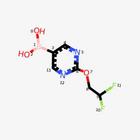 OB(O)c1cnc(OCC(F)F)nc1